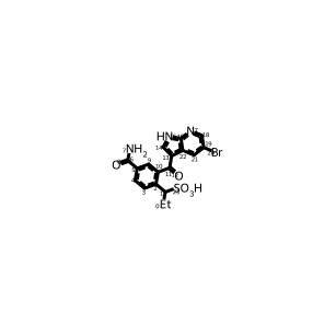 CCC(c1ccc(C(N)=O)cc1C(=O)c1c[nH]c2ncc(Br)cc12)S(=O)(=O)O